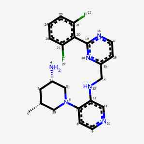 C[C@@H]1C[C@H](N)CN(c2ccncc2NCc2ccnc(-c3c(F)cccc3F)n2)C1